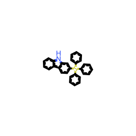 c1ccc(S(c2ccccc2)(c2ccccc2)c2ccc3c(c2)[nH]c2ccccc23)cc1